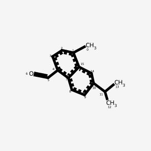 Cc1ccc([C]=O)c2ccc(C(C)C)cc12